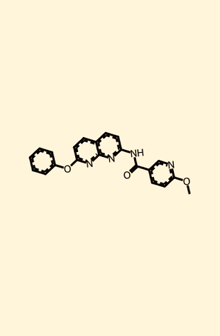 COc1ccc(C(=O)Nc2ccc3ccc(Oc4ccccc4)nc3n2)cn1